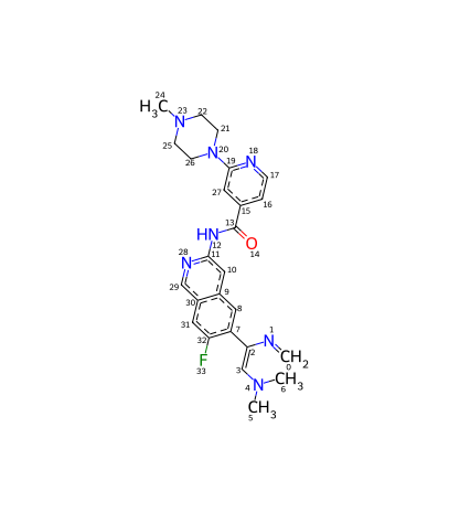 C=N/C(=C\N(C)C)c1cc2cc(NC(=O)c3ccnc(N4CCN(C)CC4)c3)ncc2cc1F